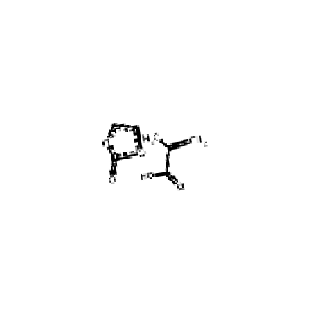 C=C(C)C(=O)O.O=c1occo1